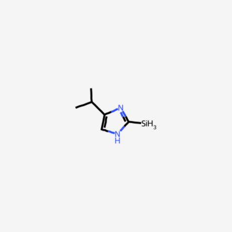 CC(C)c1c[nH]c([SiH3])n1